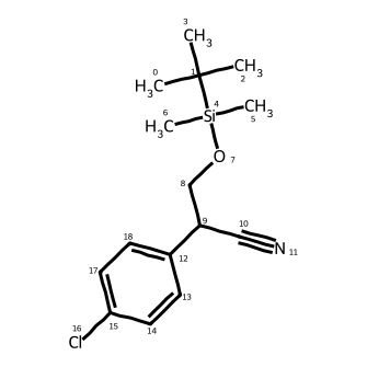 CC(C)(C)[Si](C)(C)OCC(C#N)c1ccc(Cl)cc1